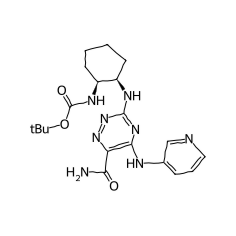 CC(C)(C)OC(=O)N[C@H]1CCCC[C@H]1Nc1nnc(C(N)=O)c(Nc2cccnc2)n1